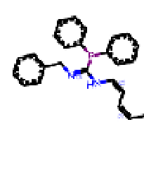 CC/C=C\C=C/N/C(=N/Cc1ccccc1)P(c1ccccc1)c1ccccc1